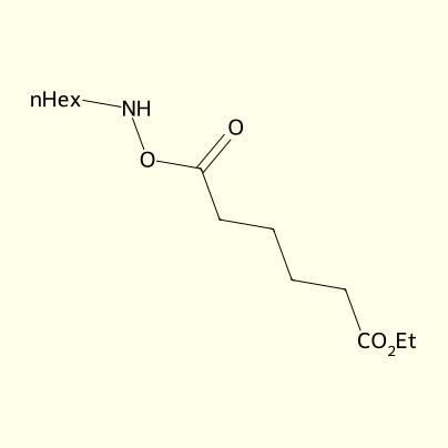 CCCCCCNOC(=O)CCCCC(=O)OCC